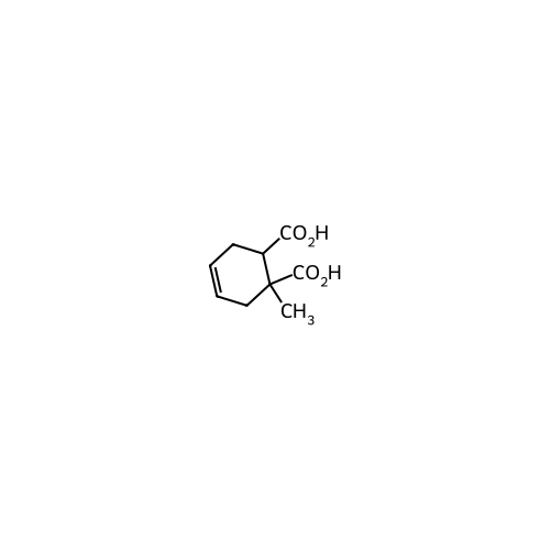 CC1(C(=O)O)CC=CCC1C(=O)O